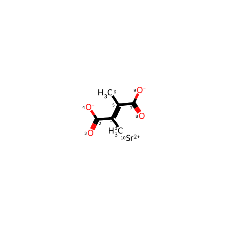 CC(C(=O)[O-])=C(C)C(=O)[O-].[Sr+2]